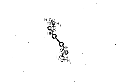 CC(=O)N[C@H](C)C(=O)N1CCC[C@H]1C(=O)Nc1ccc(C#Cc2ccc(NC(=O)[C@@H]3CCCN3C(=O)[C@@H](C)NC(C)=O)cc2)cc1